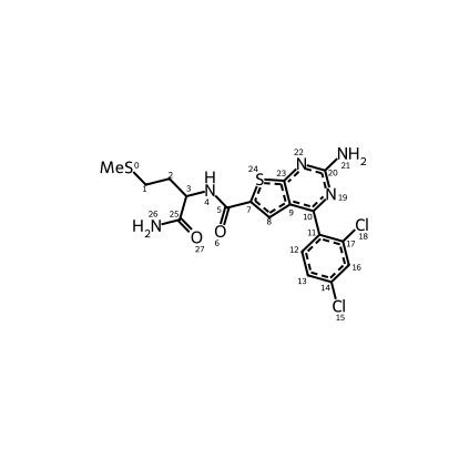 CSCCC(NC(=O)c1cc2c(-c3ccc(Cl)cc3Cl)nc(N)nc2s1)C(N)=O